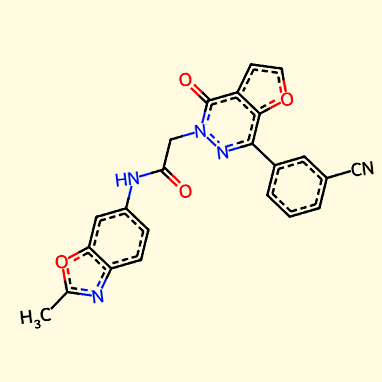 Cc1nc2ccc(NC(=O)Cn3nc(-c4cccc(C#N)c4)c4occc4c3=O)cc2o1